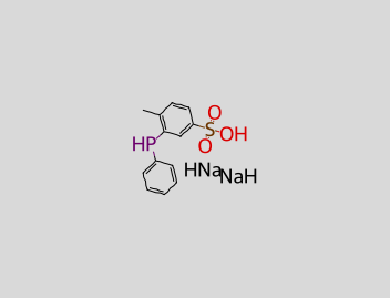 Cc1ccc(S(=O)(=O)O)cc1Pc1ccccc1.[NaH].[NaH]